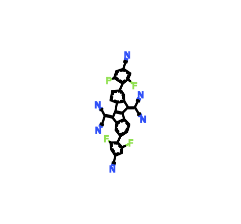 N#CC(C#N)=C1C2=C(C(=C(C#N)C#N)c3cc(-c4c(F)cc(C#N)cc4F)ccc32)c2ccc(-c3c(F)cc(C#N)cc3F)cc21